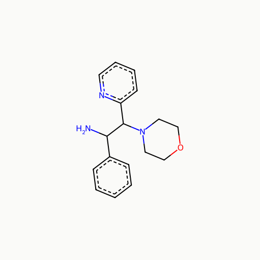 NC(c1ccccc1)C(c1ccccn1)N1CCOCC1